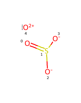 O=S([O-])[O-].[O+2]